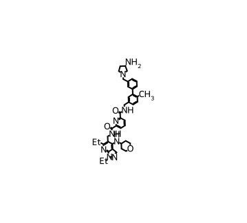 CCc1nc2c(cnn2CC)c(NC2CCOCC2)c1CNC(=O)c1cccc(C(=O)NCc2ccc(C)c(-c3cccc(CN4CC[C@H](N)C4)c3)c2)n1